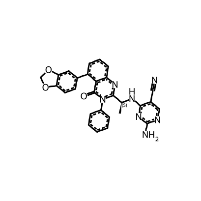 C[C@H](Nc1nc(N)ncc1C#N)c1nc2cccc(-c3ccc4c(c3)OCO4)c2c(=O)n1-c1ccccc1